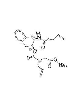 C=CCCC(=O)N[C@@H]1c2ccccc2C[C@@H]1OC(=O)[C@@H](CC=C)CC(=O)OC(C)(C)C